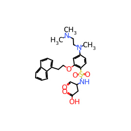 CN(C)CCN(C)c1ccc(S(=O)(=O)NC(C=O)CC(=O)O)c(OCCc2cccc3ccccc23)c1